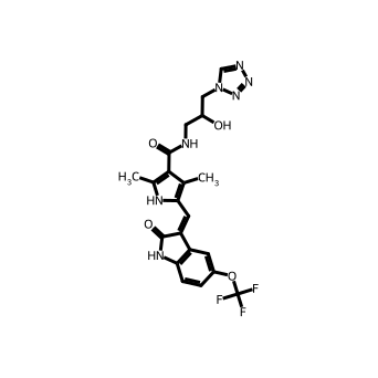 Cc1[nH]c(C=C2C(=O)Nc3ccc(OC(F)(F)F)cc32)c(C)c1C(=O)NCC(O)Cn1cnnn1